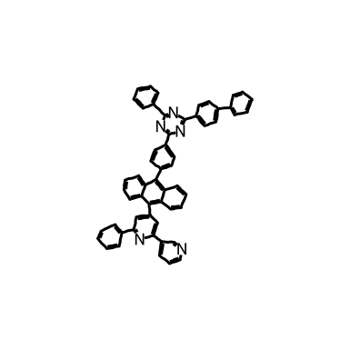 c1ccc(-c2ccc(-c3nc(-c4ccccc4)nc(-c4ccc(-c5c6ccccc6c(-c6cc(-c7ccccc7)nc(-c7cccnc7)c6)c6ccccc56)cc4)n3)cc2)cc1